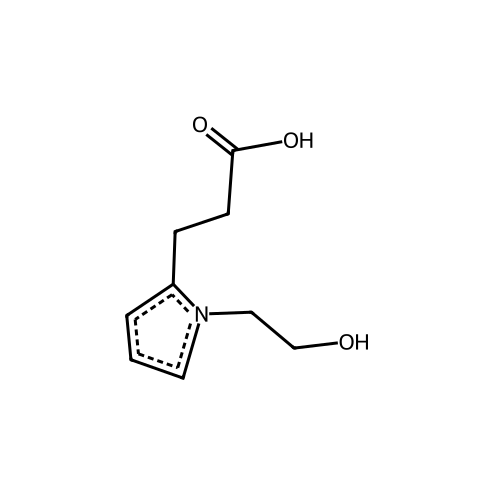 O=C(O)CCc1cccn1CCO